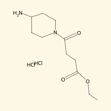 CCOC(=O)CCC(=O)N1CCC(N)CC1.Cl.Cl